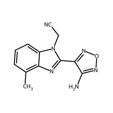 Cc1cccc2c1nc(-c1nonc1N)n2CC#N